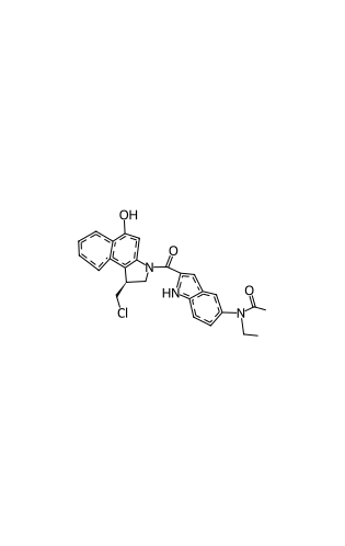 CCN(C(C)=O)c1ccc2[nH]c(C(=O)N3C[C@@H](CCl)c4c3cc(O)c3ccccc43)cc2c1